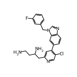 NCCC(N)Cc1cc(-c2ccc3ncn(Cc4cccc(F)c4)c3c2)c(Cl)cn1